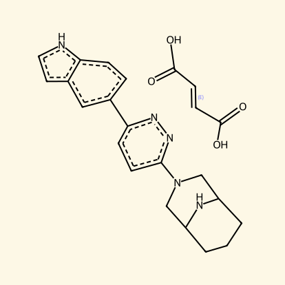 O=C(O)/C=C/C(=O)O.c1cc2cc(-c3ccc(N4CC5CCCC(C4)N5)nn3)ccc2[nH]1